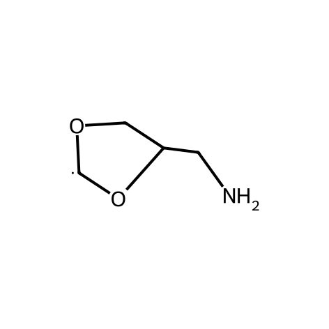 NCC1CO[CH]O1